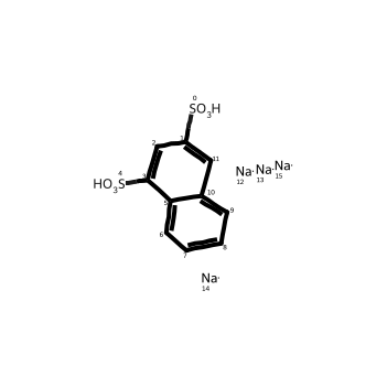 O=S(=O)(O)c1cc(S(=O)(=O)O)c2ccccc2c1.[Na].[Na].[Na].[Na]